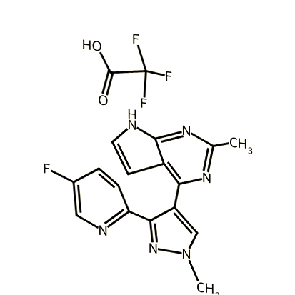 Cc1nc(-c2cn(C)nc2-c2ccc(F)cn2)c2cc[nH]c2n1.O=C(O)C(F)(F)F